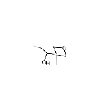 CCC(O)C1(C)COC1